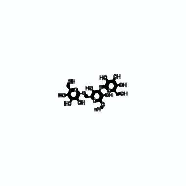 CCCO[C@H]1O[C@H](CO[C@H]2O[C@H](CO)[C@@H](O)[C@H](O)[C@@H]2O)[C@@H](O)[C@H](OC2O[C@H](CO)[C@@H](O)[C@H](O)[C@@H]2O)[C@@H]1O